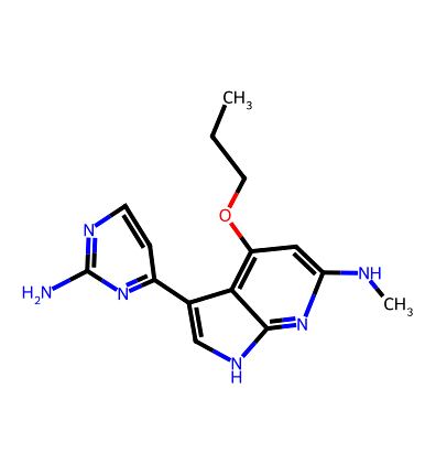 CCCOc1cc(NC)nc2[nH]cc(-c3ccnc(N)n3)c12